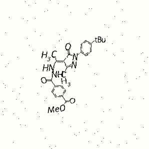 COC(=O)c1ccc(C(=O)NNC(C)=C2C(=O)N(c3ccc(C(C)(C)C)cc3)N=C2C)cc1